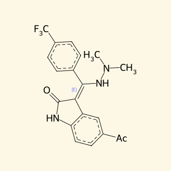 CC(=O)c1ccc2c(c1)/C(=C(\NN(C)C)c1ccc(C(F)(F)F)cc1)C(=O)N2